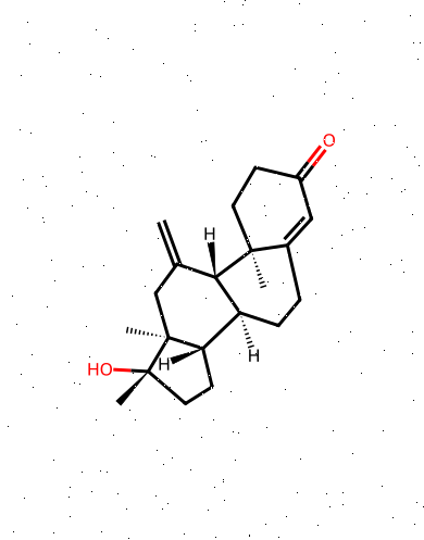 C=C1C[C@@]2(C)[C@@H](CC[C@]2(C)O)[C@@H]2CCC3=CC(=O)CC[C@]3(C)[C@@H]12